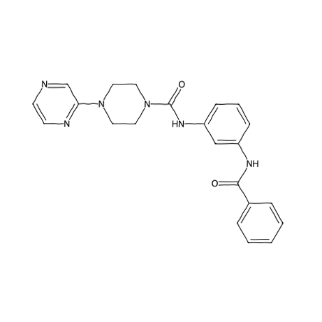 O=C(Nc1cccc(NC(=O)N2CCN(c3cnccn3)CC2)c1)c1ccccc1